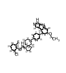 CCOc1cc(-c2ccc(N3CCCC4(CCCN4NOc4c(F)cccc4Cl)C3)nc2)c2c3cn[nH]c3nn2c1